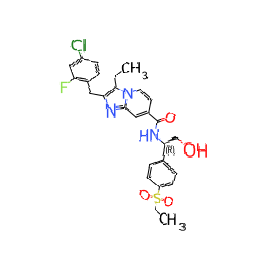 CCc1c(Cc2ccc(Cl)cc2F)nc2cc(C(=O)N[C@@H](CO)c3ccc(S(=O)(=O)CC)cc3)ccn12